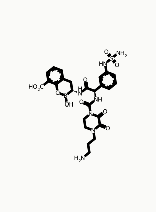 NCCCN1CCN(C(=O)N[C@@H](C(=O)N[C@H]2Cc3cccc(C(=O)O)c3OB2O)c2cccc(NS(N)(=O)=O)c2)C(=O)C1=O